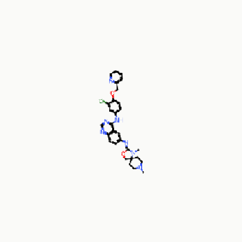 CN1CCC2(CC1)CO/C(=N\c1ccc3ncnc(Nc4ccc(OCc5ccccn5)c(Cl)c4)c3c1)N2C